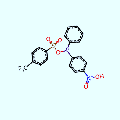 O=[N+](O)c1ccc([I+](OS(=O)(=O)c2ccc(C(F)(F)F)cc2)c2ccccc2)cc1